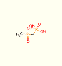 CP(=O)(O)CP(=O)(O)O